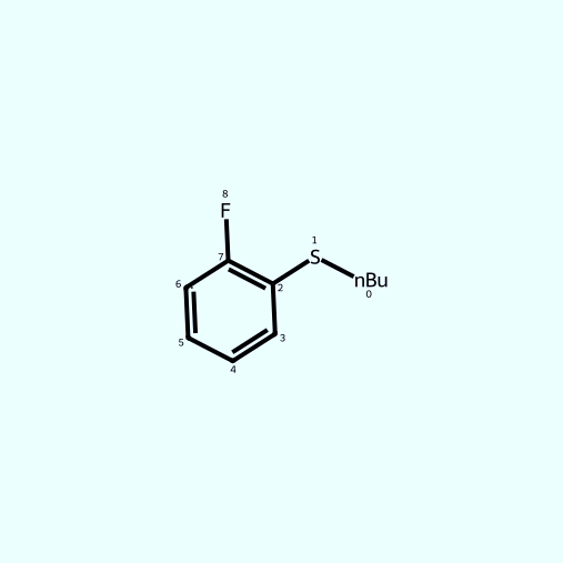 CCCCSc1ccc[c]c1F